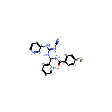 N#C/N=C(\Nc1cccnc1)NC(NC(=O)c1ccc(Cl)cc1)c1ccccn1